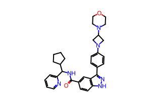 O=C(NC(c1ccccn1)C1CCCC1)c1ccc2[nH]nc(-c3ccc(N4CC(N5CCOCC5)C4)cc3)c2c1